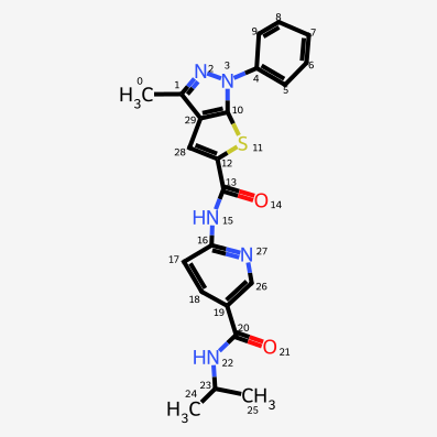 Cc1nn(-c2ccccc2)c2sc(C(=O)Nc3ccc(C(=O)NC(C)C)cn3)cc12